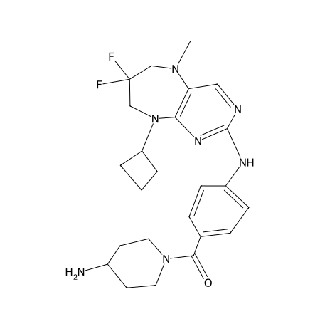 CN1CC(F)(F)CN(C2CCC2)c2nc(Nc3ccc(C(=O)N4CCC(N)CC4)cc3)ncc21